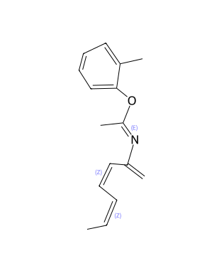 C=C(/C=C\C=C/C)/N=C(\C)Oc1ccccc1C